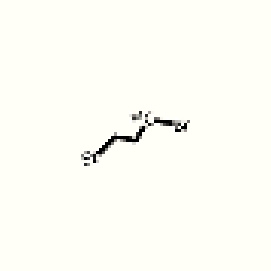 CCCC[14CH2]Br